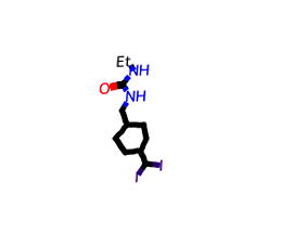 CCNC(=O)NCC1CCC(C(I)I)CC1